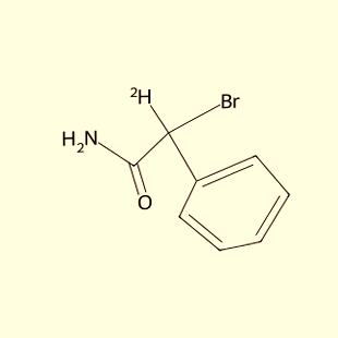 [2H]C(Br)(C(N)=O)c1ccccc1